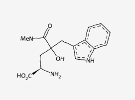 CNC(=O)C(O)(Cc1c[nH]c2ccccc12)C[C@@H](N)C(=O)O